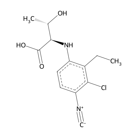 [C-]#[N+]c1ccc(N[C@@H](C(=O)O)[C@H](C)O)c(CC)c1Cl